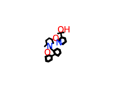 CC1CCC(Oc2ncccc2C(C)(C)O)CN1C(=O)c1ccccc1-c1ccccc1